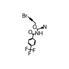 N#CC(NC(=O)c1ccc(C(F)(F)F)cc1)OCC#CBr